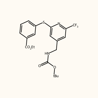 CCOC(=O)c1cccc(Sc2cc(CNC(=O)OC(C)(C)C)cc(C(F)(F)F)n2)c1